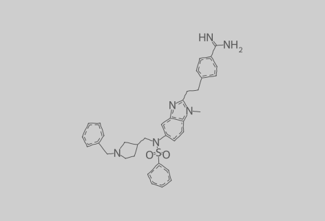 Cn1c(CCc2ccc(C(=N)N)cc2)nc2cc(N(CC3CCN(Cc4ccccc4)C3)S(=O)(=O)c3ccccc3)ccc21